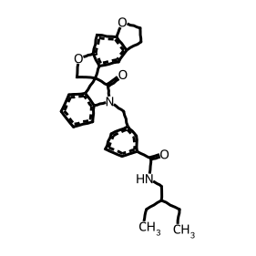 CCC(CC)CNC(=O)c1cccc(CN2C(=O)C3(COc4cc5c(cc43)CCO5)c3ccccc32)c1